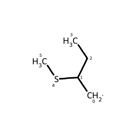 [CH2]C(CC)SC